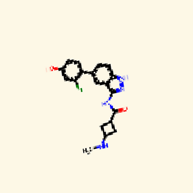 CNC1CC(C(=O)Nc2n[nH]c3ccc(-c4ccc(O)cc4Cl)cc23)C1